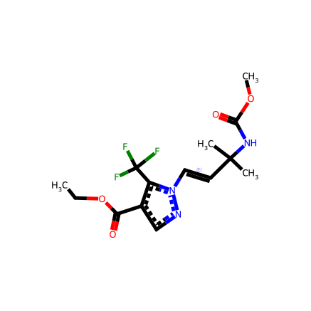 CCOC(=O)c1cnn(/C=C/C(C)(C)NC(=O)OC)c1C(F)(F)F